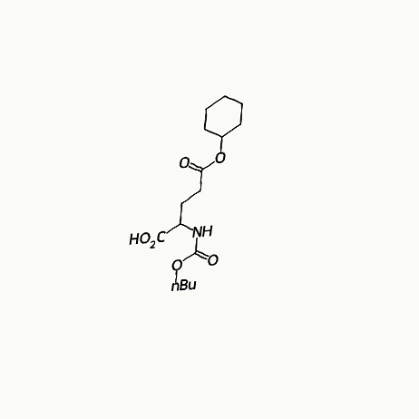 CCCCOC(=O)NC(CCC(=O)OC1CCCCC1)C(=O)O